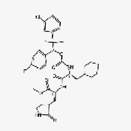 COC(=O)[C@H](CC1CCNC1=O)NC(=O)[C@H](CC1CCCCC1)NC(=O)OC(c1ccc(F)cc1)C(C)(C)c1cccc(Cl)c1